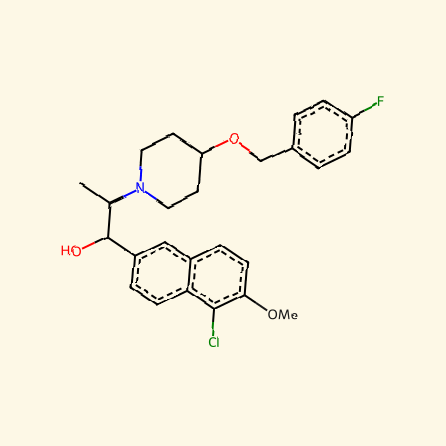 COc1ccc2cc(C(O)C(C)N3CCC(OCc4ccc(F)cc4)CC3)ccc2c1Cl